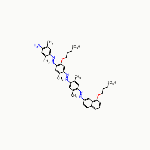 Cc1cc(N=Nc2cc(C)c(N=Nc3cc(C)c(N=Nc4ccc5cccc(OCCCS(=O)(=O)O)c5c4)cc3C)cc2OCCCS(=O)(=O)O)c(C)cc1N